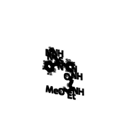 CC[C@@H](COC)C(=N)CCC(=O)Nc1cc(-c2nc(-c3ccccc3)c(-c3nnc[nH]3)s2)ccn1